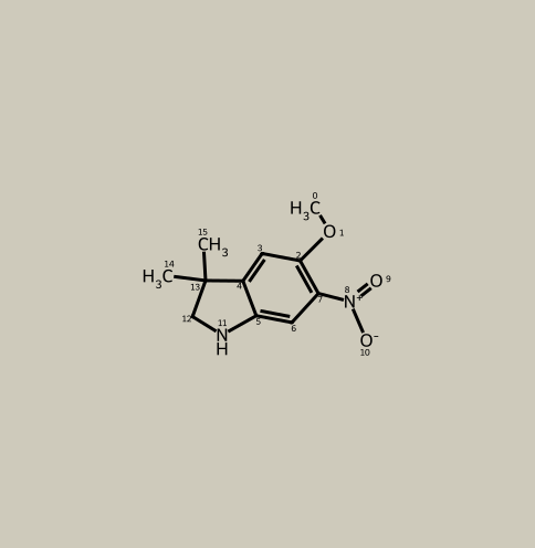 COc1cc2c(cc1[N+](=O)[O-])NCC2(C)C